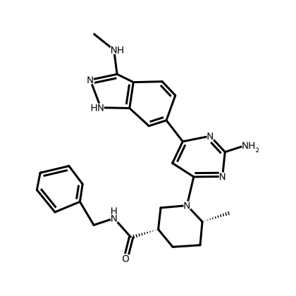 CNc1n[nH]c2cc(-c3cc(N4C[C@@H](C(=O)NCc5ccccc5)CC[C@H]4C)nc(N)n3)ccc12